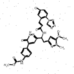 COC(=O)Nc1ccc(-c2cc(C(Cc3cc([S+](C)[O-])n(C)n3)NC(=O)C=Cc3cc(Cl)ccc3-n3cnnn3)n[nH]c2=O)cc1